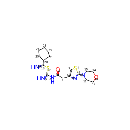 N=C(NC(=O)Cc1csc(N2CCOCC2)n1)SC(=N)C1CCCCC1